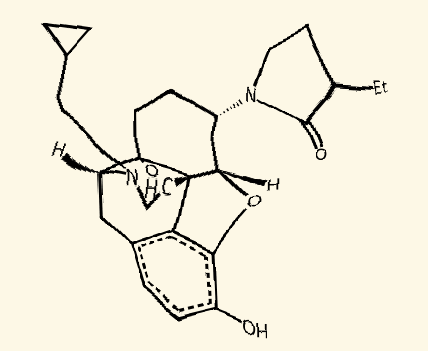 CCC1CCN([C@H]2CCC3(O)[C@H]4Cc5ccc(O)c6c5[C@@]3(CCN4CC3CC3)[C@H]2O6)C1=O